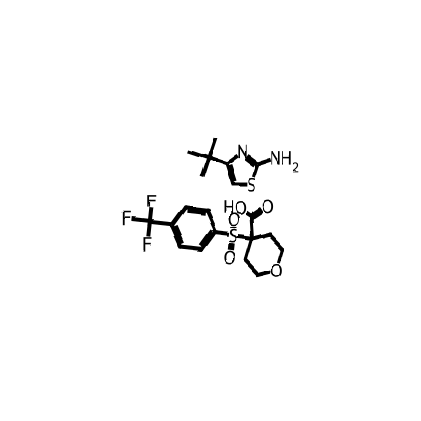 CC(C)(C)c1csc(N)n1.O=C(O)C1(S(=O)(=O)c2ccc(C(F)(F)F)cc2)CCOCC1